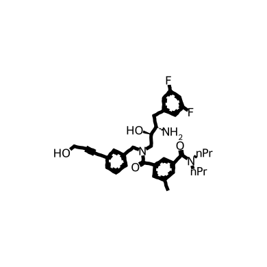 CCCN(CCC)C(=O)c1cc(C)cc(C(=O)N(Cc2cccc(C#CCO)c2)C[C@@H](O)[C@@H](N)Cc2cc(F)cc(F)c2)c1